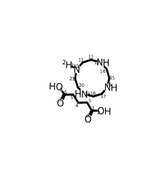 O=C(O)CCCC(=O)O.[2H]N1CCNCCNCCNCC1